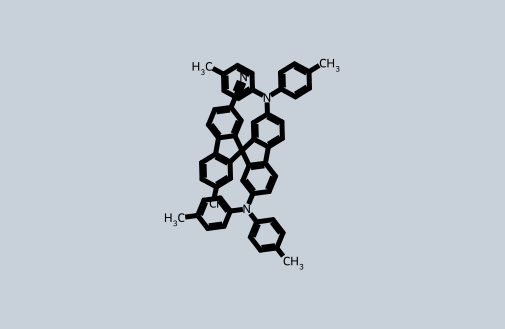 Cc1ccc(N(c2ccc(C)cc2)c2ccc3c(c2)C2(c4cc(Cl)ccc4-c4ccc(C#N)cc42)c2cc(N(c4ccc(C)cc4)c4ccc(C)cc4)ccc2-3)cc1